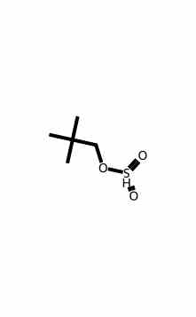 CC(C)(C)CO[SH](=O)=O